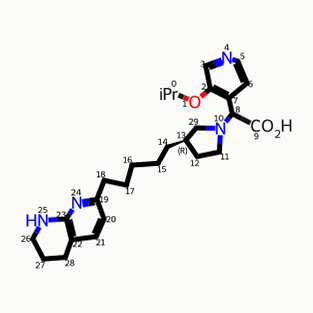 CC(C)Oc1cnccc1C(C(=O)O)N1CC[C@@H](CCCCCc2ccc3c(n2)NCCC3)C1